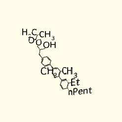 C=C(C)C(=O)OCC(CO)Cc1ccc(-c2ccc(-c3ccc(CCCCC)c(CC)c3)c(C)c2)c(C)c1